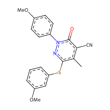 COc1ccc(-n2nc(Sc3cccc(OC)c3)c(C)c(C#N)c2=O)cc1